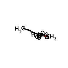 CCCCCCCCCCCCCCNc1ccc(C(=O)NCCC(=O)OC)cc1[N+](=O)[O-]